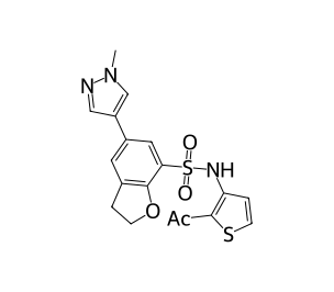 CC(=O)c1sccc1NS(=O)(=O)c1cc(-c2cnn(C)c2)cc2c1OCC2